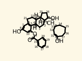 C[C@]12CC[C@@H]3c4c(cc(O)cc4OC(=O)c4ccccc4)CC[C@H]3[C@@H]1CC[C@H]2O.OC1=CCCCCCC1